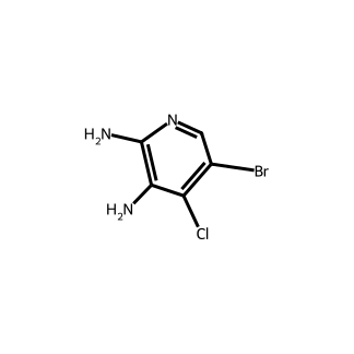 Nc1ncc(Br)c(Cl)c1N